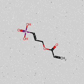 C=CC(=O)OCC=CP(=O)(O)O